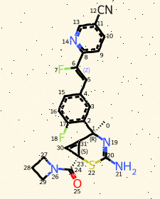 C[C@]1(c2cc(/C=C(\F)c3ccc(C#N)cn3)ccc2F)N=C(N)S[C@@]2(C(=O)N3CCC3)C=C21